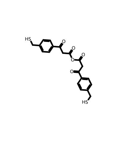 O=C(CC(=O)c1ccc(CS)cc1)OC(=O)CC(=O)c1ccc(CS)cc1